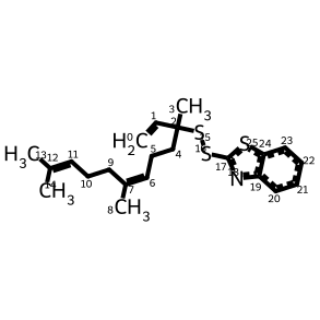 C=CC(C)(CCC=C(C)CCC=C(C)C)SSc1nc2ccccc2s1